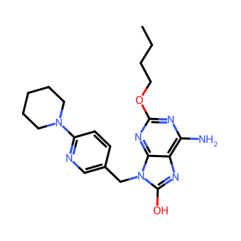 CCCCOc1nc(N)c2nc(O)n(Cc3ccc(N4CCCCC4)nc3)c2n1